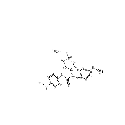 COc1ccc(CC(=O)N(Cc2ccc(CO)cc2)C2CCN(C)CC2)cc1.Cl